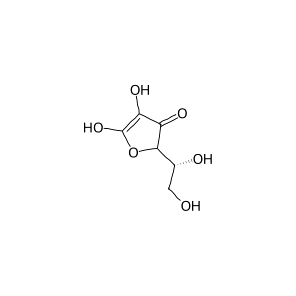 O=C1C(O)=C(O)OC1[C@H](O)CO